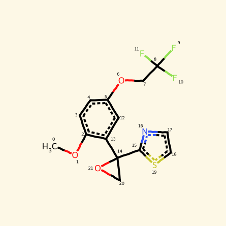 COc1ccc(OCC(F)(F)F)cc1C1(c2nccs2)CO1